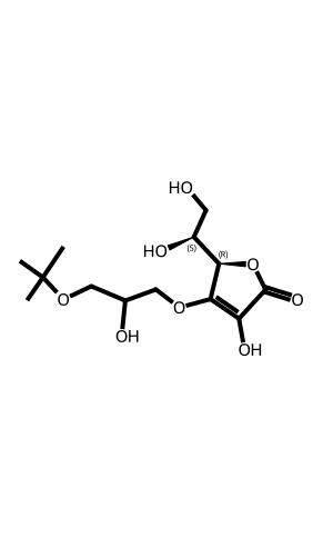 CC(C)(C)OCC(O)COC1=C(O)C(=O)O[C@@H]1[C@@H](O)CO